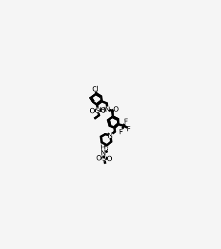 CCS(=O)(=O)c1ccc(Cl)cc1CNC(=O)c1ccc(CN2CCC[C@@H](CNS(C)(=O)=O)C2)c(C(F)(F)F)c1